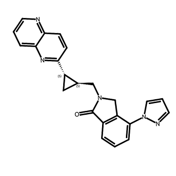 O=C1c2cccc(-n3cccn3)c2CN1C[C@H]1C[C@@H]1c1ccc2ncccc2n1